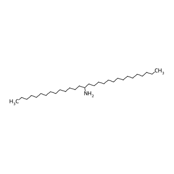 CCCCCCCCCCCCCCCC(N)CCCCCCCCCCCCCC